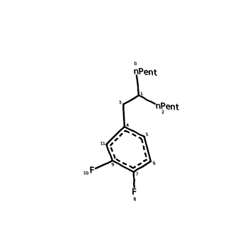 CCCCCC(CCCCC)Cc1ccc(F)c(F)c1